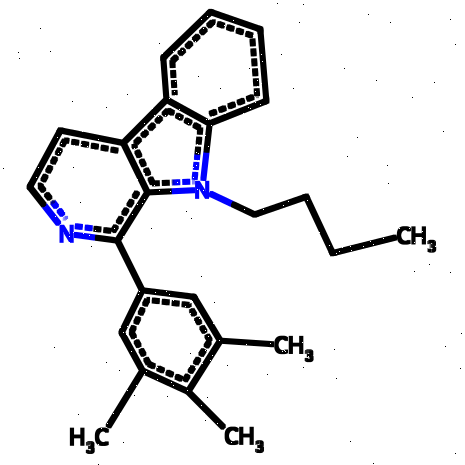 CCCCn1c2ccccc2c2ccnc(-c3cc(C)c(C)c(C)c3)c21